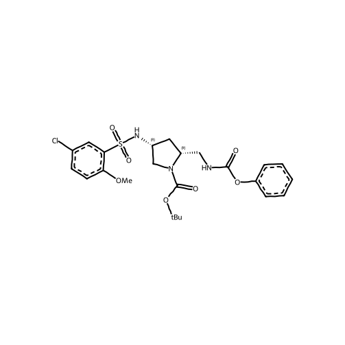 COc1ccc(Cl)cc1S(=O)(=O)N[C@@H]1C[C@H](CNC(=O)Oc2ccccc2)N(C(=O)OC(C)(C)C)C1